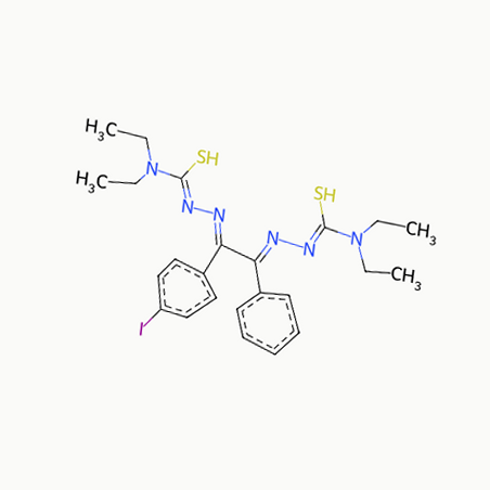 CCN(CC)/C(S)=N/N=C(/C(=N/N=C(\S)N(CC)CC)c1ccc(I)cc1)c1ccccc1